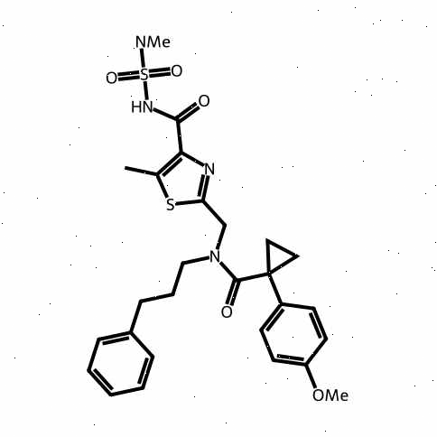 CNS(=O)(=O)NC(=O)c1nc(CN(CCCc2ccccc2)C(=O)C2(c3ccc(OC)cc3)CC2)sc1C